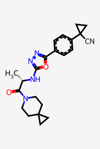 C[C@H](Nc1nnc(-c2ccc(C3(C#N)CC3)cc2)o1)C(=O)N1CCC2(CC1)CC2